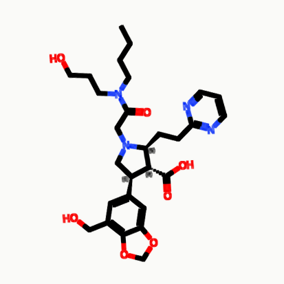 CCCCN(CCCO)C(=O)CN1C[C@H](c2cc(CO)c3c(c2)OCO3)[C@@H](C(=O)O)[C@@H]1CCc1ncccn1